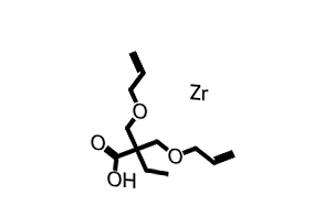 C=CCOCC(CC)(COCC=C)C(=O)O.[Zr]